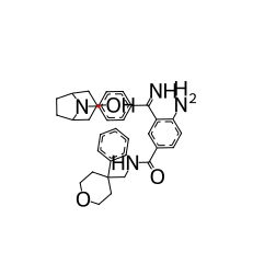 N=C(c1ccc(N2C3CCC2CC(O)C3)cc1)c1cc(C(=O)NCC2(c3ccccc3)CCOCC2)ccc1N